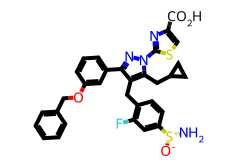 N[S+]([O-])c1ccc(Cc2c(-c3cccc(OCc4ccccc4)c3)nn(-c3nc(C(=O)O)cs3)c2CC2CC2)c(F)c1